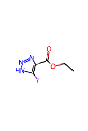 CCOC(=O)c1nn[nH]c1I